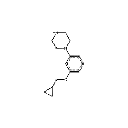 c1cc(OCC2CC2)cc(N2CCNCC2)c1